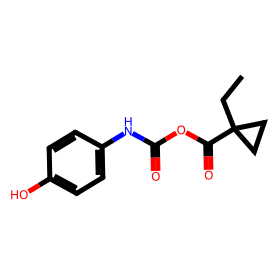 CCC1(C(=O)OC(=O)Nc2ccc(O)cc2)CC1